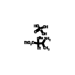 CCCCC(CC)(C(=O)OCC)C(C)N.O=P(O)(O)O